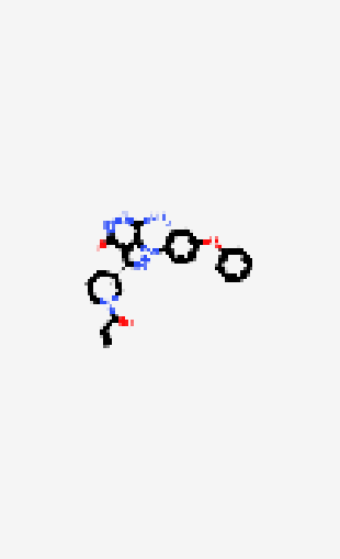 C=CC(=O)N1CCC[C@H](c2nn(-c3ccc(Oc4ccccc4)cc3)c3c(N)n[nH]c(=O)c23)C1